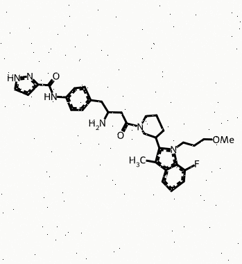 COCCCn1c(C2CCCN(C(=O)CC(N)Cc3ccc(NC(=O)c4cc[nH]n4)cc3)C2)c(C)c2cccc(F)c21